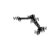 O=CNCC(=O)N[C@@H](CC(=O)O)C(=O)NCCCOCCOCCOCCCNC(=O)C[C@H](NC(=O)CCCCCCCCCCCCCCCCC(=O)O)C(=O)O